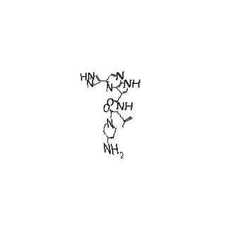 C=C(C)[C@@H](NC(=O)c1c[nH]c2ncc(-c3cn[nH]c3)nc12)C(=O)N1CCC(N)CC1